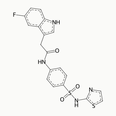 O=C(Cc1c[nH]c2ccc(F)cc12)Nc1ccc(S(=O)(=O)Nc2nccs2)cc1